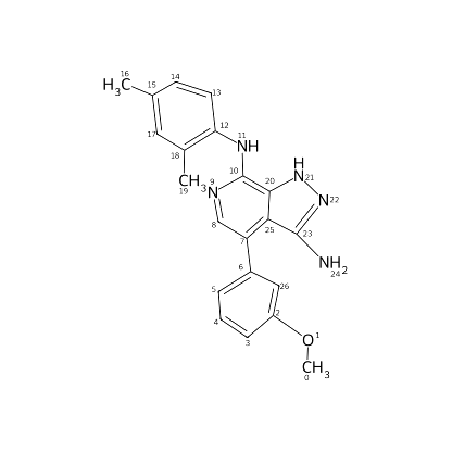 COc1cccc(-c2cnc(Nc3ccc(C)cc3C)c3[nH]nc(N)c23)c1